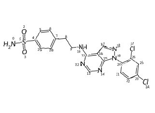 NS(=O)(=O)c1ccc(CCNc2ncnc3c2cnn3-c2ccc(Cl)cc2Cl)cc1